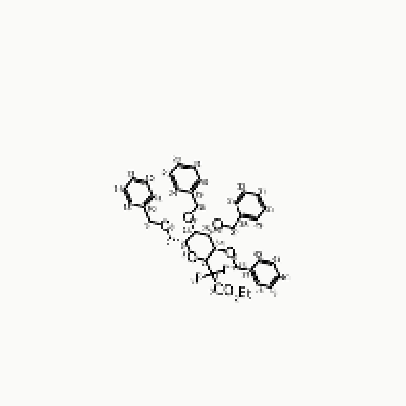 CCOC(=O)C(F)(F)C1O[C@H](COCc2ccccc2)[C@H](OCc2ccccc2)[C@H](OCc2ccccc2)[C@H]1OCc1ccccc1